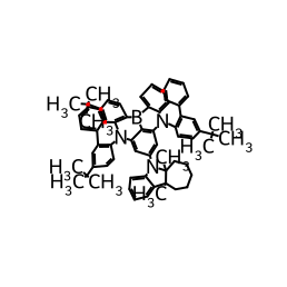 CC(C)(C)c1ccc(N2c3ccccc3B3c4ccc(C(C)(C)C)cc4N(c4ccc(C(C)(C)C)cc4-c4ccccc4)c4cc(N5c6ccccc6C6(C)CCCCCC56C)cc2c43)c(-c2ccccc2)c1